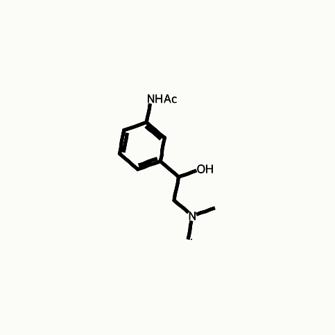 [CH2]N(C)CC(O)c1cccc(NC(C)=O)c1